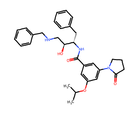 CC(C)Oc1cc(C(=O)N[C@@H](Cc2ccccc2)[C@@H](O)CNCc2ccccc2)cc(N2CCCC2=O)c1